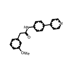 COc1cccc(CC(=O)Nc2ccc(-c3ccncc3)cc2)c1